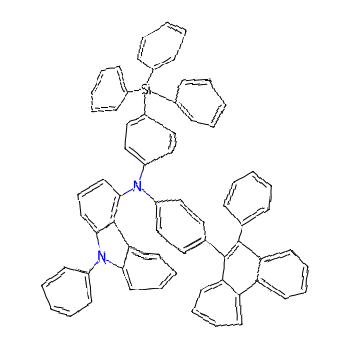 c1ccc(-c2c(-c3ccc(N(c4ccc([Si](c5ccccc5)(c5ccccc5)c5ccccc5)cc4)c4cccc5c4c4ccccc4n5-c4ccccc4)cc3)c3ccccc3c3ccccc23)cc1